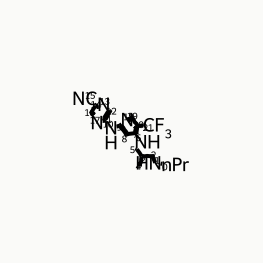 CCCNCC(C)CNc1cc(Nc2cnc(C#N)cn2)ncc1C(F)(F)F